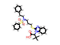 CC(C)(C)C(C(=O)O)n1c(SCCCN(CCc2ccccc2)S(=O)(=O)c2ccccc2)nc2ccccc21